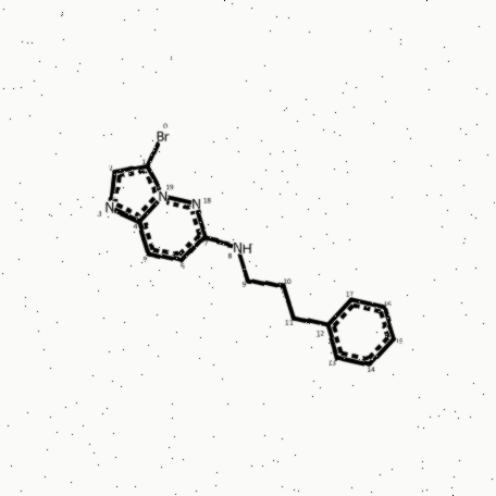 Brc1cnc2ccc(NCCCc3ccccc3)nn12